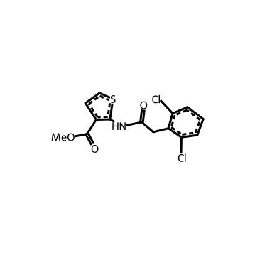 COC(=O)c1ccsc1NC(=O)Cc1c(Cl)cccc1Cl